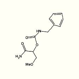 COCC(OC(=O)NCc1ccccc1)C(N)=O